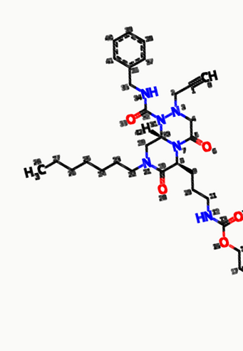 C#CCN1CC(=O)N2[C@@H](CCCNC(=O)OCC=C)C(=O)N(CCCCCCC)C[C@@H]2N1C(=O)NCc1ccccc1